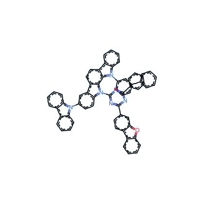 c1ccc(-c2cccc(-n3c4ccccc4c4ccc5c6cc(-n7c8ccccc8c8ccccc87)ccc6n(-c6nc(-c7ccccc7)nc(-c7ccc8c(c7)oc7ccccc78)n6)c5c43)c2)cc1